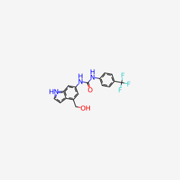 O=C(Nc1ccc(C(F)(F)F)cc1)Nc1cc(CO)c2cc[nH]c2c1